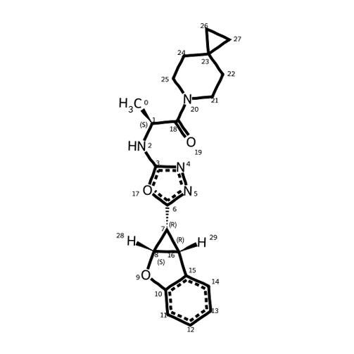 C[C@H](Nc1nnc([C@H]2[C@H]3Oc4ccccc4[C@H]32)o1)C(=O)N1CCC2(CC1)CC2